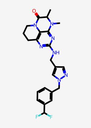 CC1C(=O)N2CCCc3nc(NCc4cnn(Cc5cccc(C(F)F)c5)c4)nc(c32)N1C